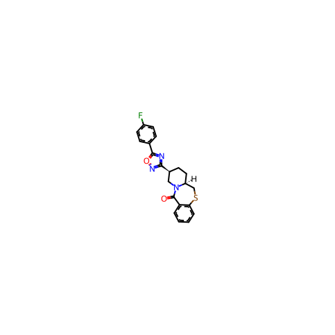 O=C1c2ccccc2SC[C@@H]2CC[C@H](c3noc(-c4ccc(F)cc4)n3)CN12